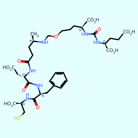 C[C@H](CCC(=O)N[C@@H](CC(=O)O)C(=O)N[C@@H](Cc1ccccc1)C(=O)N[C@@H](CS)C(=O)O)NCOCCC[C@H](NC(=O)N[C@@H](CCC(=O)O)C(=O)O)C(=O)O